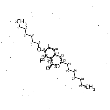 CCCCCCCOc1ccc2cc(CCCCCCC)oc(=O)c2c1F